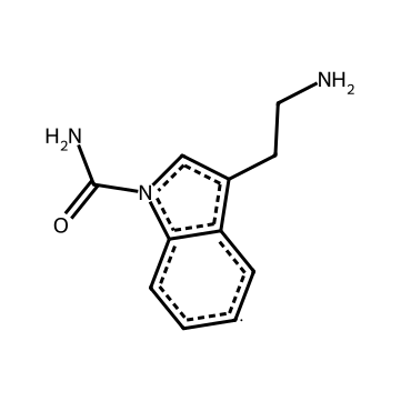 NCCc1cn(C(N)=O)c2cc[c]cc12